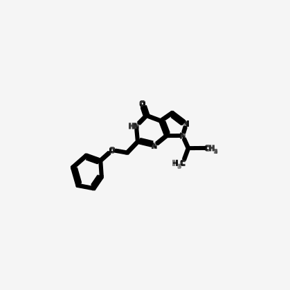 CC(C)n1ncc2c(=O)[nH]c(COc3ccccc3)nc21